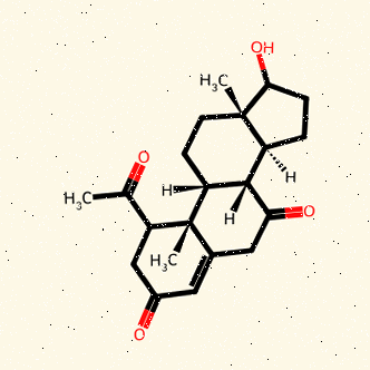 CC(=O)C1CC(=O)C=C2CC(=O)[C@@H]3[C@@H](CC[C@]4(C)C(O)CC[C@@H]34)[C@]21C